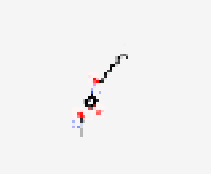 CNCC(=O)Oc1ccc(CNC(=O)CCCCCCC(C)C)cc1OC